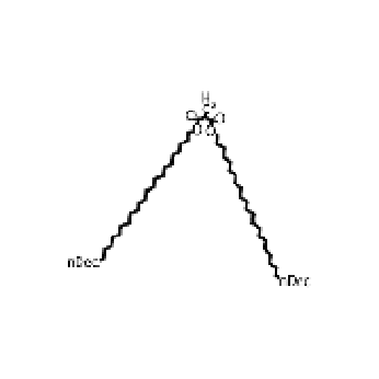 C=C(C(=O)OCCCCCCCCCCCCCCCCCCCCCCCCCCCCCCCC)C(=O)OCCCCCCCCCCCCCCCCCCCCCCCCCCCCCCCC